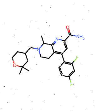 CC1c2nc(C(N)=O)cc(-c3ccc(F)cc3F)c2CCN1CC1CCOC(C)(C)C1